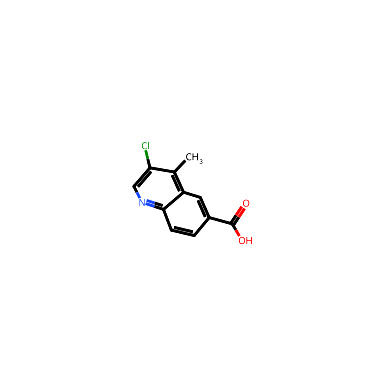 Cc1c(Cl)cnc2ccc(C(=O)O)cc12